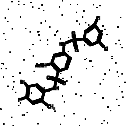 CC(=O)Nc1cc(NS(=O)(=O)c2cc(Cl)cc(Cl)c2)ccc1S(=O)(=O)Nc1cc(Br)c(F)cc1C